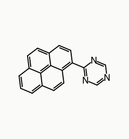 c1cc2ccc3ccc(-c4ncncn4)c4ccc(c1)c2c34